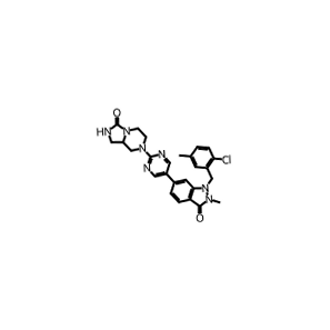 Cc1ccc(Cl)c(Cn2c3cc(-c4cnc(N5CCN6C(=O)NCC6C5)nc4)ccc3c(=O)n2C)c1